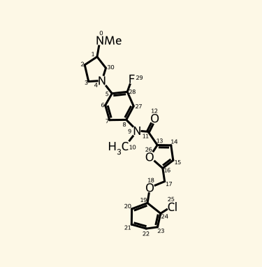 CNC1CCN(c2ccc(N(C)C(=O)c3ccc(COc4ccccc4Cl)o3)cc2F)C1